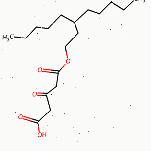 CCCCCC(CCCCC)CCOC(=O)CC(=O)CC(=O)O